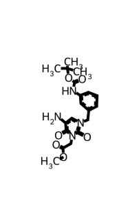 COC(=O)Cn1c(=O)c(N)cn(Cc2cccc(NC(=O)OC(C)(C)C)c2)c1=O